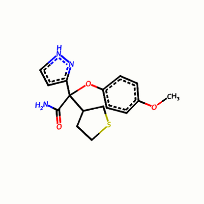 COc1ccc(OC(C(N)=O)(c2cc[nH]n2)C2CCSC2)cc1